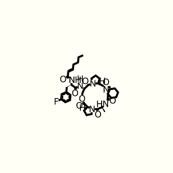 CCCC/C=C/C(=O)N[C@@H](Cc1cccc(F)c1)C(=O)N[C@H]1COC(=O)[C@@H]2CCCN2C(=O)[C@H](C)NC(=O)C2(CCCCC2)N(C)C(=O)[C@@H]2CCCN2C1=O